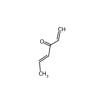 [CH]=CC(=O)C=CC